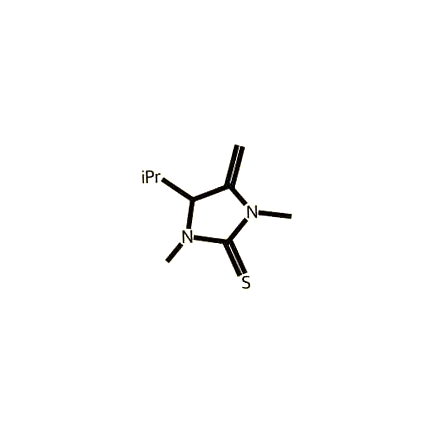 C=C1C(C(C)C)N(C)C(=S)N1C